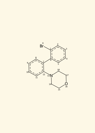 Brc1ccc[c]c1-c1ccccc1N1CCOCC1